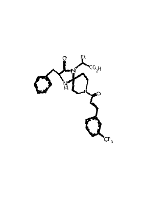 CCC(C(=O)O)N1C(=O)C(Cc2ccccc2)NC12CCN(C(=O)C=Cc1cccc(C(F)(F)F)c1)CC2